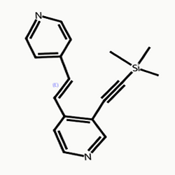 C[Si](C)(C)C#Cc1cnccc1/C=C/c1ccncc1